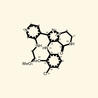 COCCNc1cnccc1-c1nn2c(c1Nc1cccc(Cl)c1OC)C(=O)NCC2